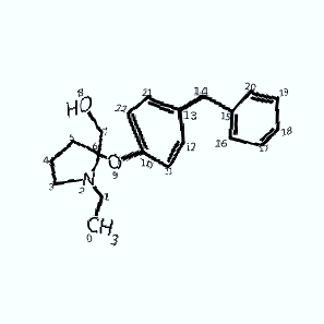 CCN1CCCC1(CO)Oc1ccc(Cc2ccccc2)cc1